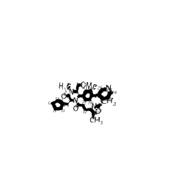 COCCN(C)C(=O)[C@H](Cc1ccccc1)N(Cc1ccc(-c2cccnc2)cc1)C(=O)C=Cc1nc(C)oc1C